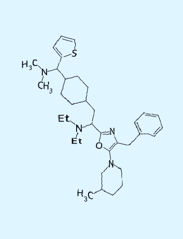 CCN(CC)C(CC1CCC(C(c2cccs2)N(C)C)CC1)c1nc(Cc2ccccc2)c(N2CCCC(C)C2)o1